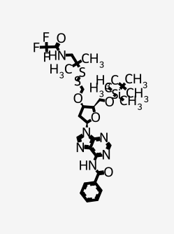 CC(C)(CNC(=O)C(F)(F)F)SSCO[C@@H]1C[C@H](n2cnc3c(NC(=O)c4ccccc4)ncnc32)O[C@@H]1CO[Si](C)(C)C(C)(C)C